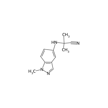 Cn1ncc2cc(NC(C)(C)C#N)ccc21